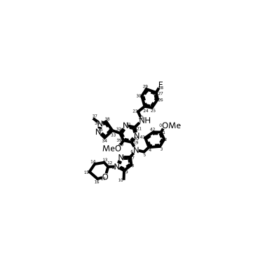 COc1ccc(CN(c2cc(C)n(C3CCCCO3)n2)c2nc(NCc3ccc(F)cc3)nc(-c3cnn(C)c3)c2OC)cc1